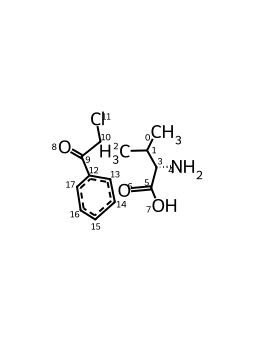 CC(C)[C@H](N)C(=O)O.O=C(CCl)c1ccccc1